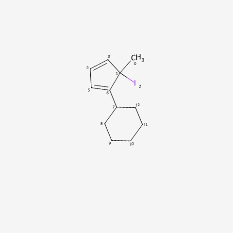 CC1(I)C=CC=C1C1CCCCC1